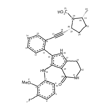 COc1c(F)cccc1Nc1c(-c2ccncc2C#C[C@H]2CC[C@@H](C)N2C(=O)O)[nH]c2c1C(=O)NCC2